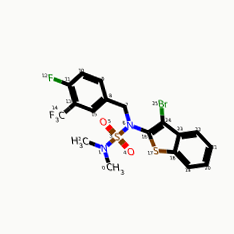 CN(C)S(=O)(=O)N(Cc1ccc(F)c(C(F)(F)F)c1)c1sc2ccccc2c1Br